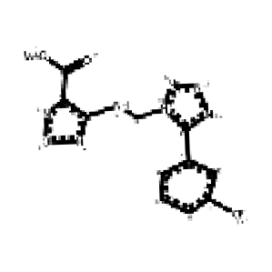 COC(=O)c1nonc1NCn1nnnc1-c1cccc(C(F)(F)F)c1